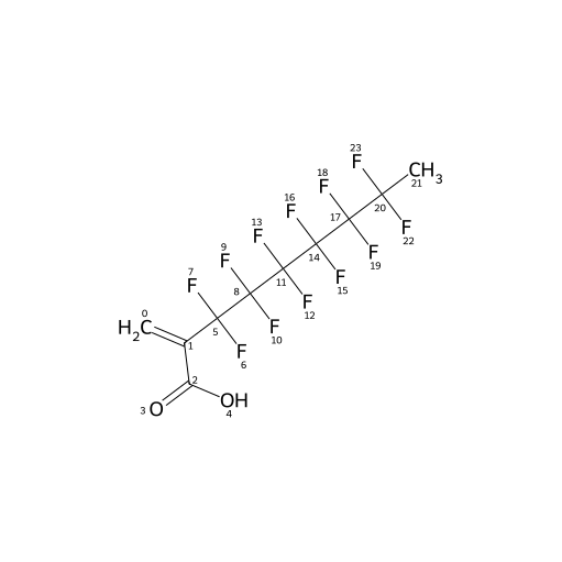 C=C(C(=O)O)C(F)(F)C(F)(F)C(F)(F)C(F)(F)C(F)(F)C(C)(F)F